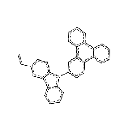 C=Cc1ccc2c(c1)c1ccccc1n2-c1ccc2c3ccccc3c3ccccc3c2c1